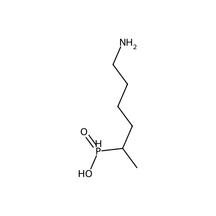 CC(CCCCN)[PH](=O)O